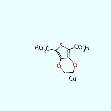 O=C(O)c1sc(C(=O)O)c2c1OCCO2.[Cd]